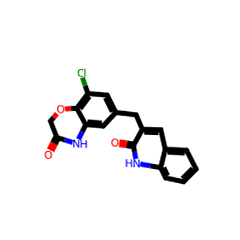 O=C1COc2c(Cl)cc(Cc3cc4ccccc4[nH]c3=O)cc2N1